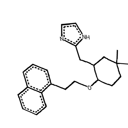 CC1(C)CCC(OCCc2cccc3ccccc23)C(Cc2ncc[nH]2)C1